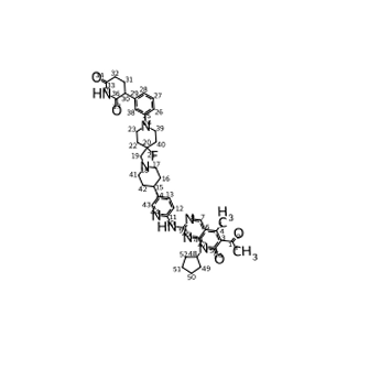 CC(=O)c1c(C)c2cnc(Nc3ccc(C4CCN(CC5(F)CCN(c6cccc(C7CCC(=O)NC7=O)c6)CC5)CC4)cn3)nc2n(C2CCCC2)c1=O